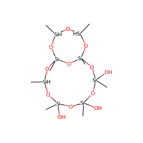 C[SiH]1O[SiH](C)O[Si]2(C)O[Si](C)(O)O[Si](C)(O)O[Si](C)(O)O[SiH](C)O[Si](C)(O1)O2